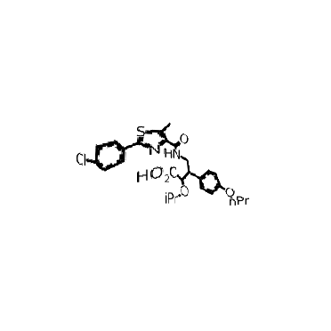 CCCOc1ccc(C(CNC(=O)c2nc(-c3ccc(Cl)cc3)sc2C)C(OC(C)C)C(=O)O)cc1